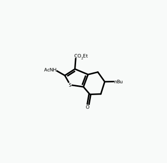 CCCCC1CC(=O)c2sc(NC(C)=O)c(C(=O)OCC)c2C1